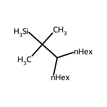 CCCCCCC(CCCCCC)C(C)(C)[SiH3]